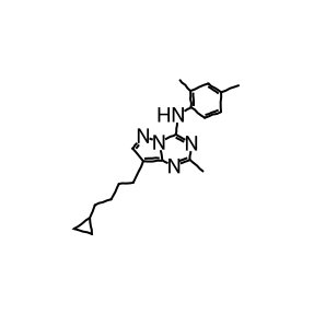 Cc1ccc(Nc2nc(C)nc3c(CCCCC4CC4)cnn23)c(C)c1